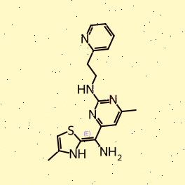 CC1=CS/C(=C(/N)c2cc(C)nc(NCCc3ccccn3)n2)N1